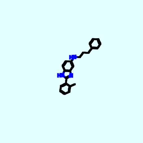 Cc1ccccc1-c1nc2cc(NCCCc3ccccc3)ccc2[nH]1